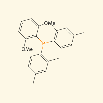 COc1cccc(OC)c1P(c1ccc(C)cc1C)c1ccc(C)cc1C